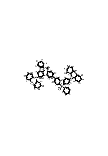 O=P(c1ccccc1)(c1ccc(-c2ccc(P(=O)(c3ccccc3)c3ccc(N4c5ccccc5Oc5ccccc54)cc3)cc2)cc1)c1ccc(N2c3ccccc3Oc3ccccc32)cc1